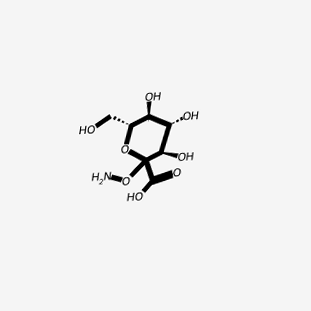 NOC1(C(=O)O)O[C@H](CO)[C@@H](O)[C@H](O)[C@H]1O